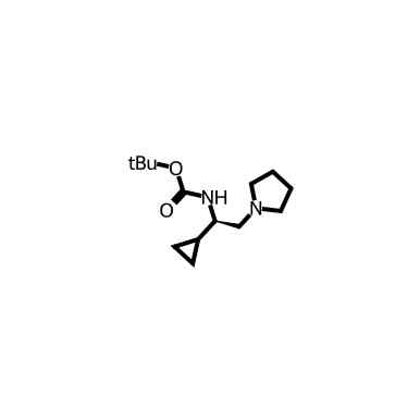 CC(C)(C)OC(=O)N[C@@H](CN1CCCC1)C1CC1